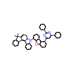 CC1(C)C2=CCC3C(=C2c2ccccc21)c1ccccc1N3c1cccc2c1oc1cccc(-c3cc(-c4ccccc4)nc(-c4ccccc4)n3)c12